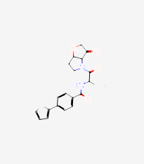 CCCC(NC(=O)c1ccc(-c2cccs2)cc1)C(=O)N1CCC2OCC(=O)C21